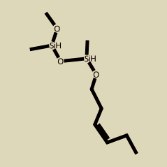 CC/C=C\CCO[SiH](C)O[SiH](C)OC